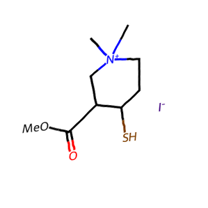 COC(=O)C1C[N+](C)(C)CCC1S.[I-]